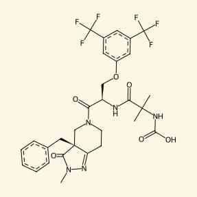 CN1N=C2CCN(C(=O)[C@@H](COc3cc(C(F)(F)F)cc(C(F)(F)F)c3)NC(=O)C(C)(C)NC(=O)O)C[C@@]2(Cc2ccccc2)C1=O